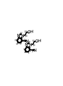 N#Cc1cccc2ncn(CCO)c12.N#Cc1cccc2ncn(CCO)c12